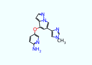 Cn1cnc(-c2cc(Oc3ccc(N)nc3)c3ccnn3c2)c1